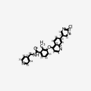 Cc1c(Oc2ccnc3cc(-c4cnc(Cl)nc4)ccc23)cccc1C(=O)NCc1ccncc1